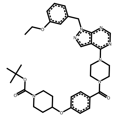 CCOc1cccc(Cn2ncc3c(N4CCN(C(=O)c5ccc(OC6CCN(C(=O)OC(C)(C)C)CC6)cc5)CC4)ncnc32)c1